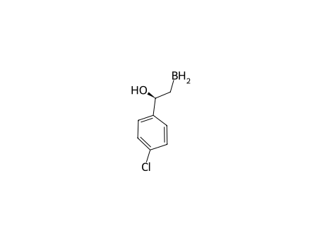 BC[C@H](O)c1ccc(Cl)cc1